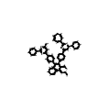 C/C=c1/c(-c2ccc(-c3cc(-c4ccccc4)nc(C4=CC=CCC=C4)n3)cc2)c(-c2ccc(-c3cc(C)nc(-c4ccccc4)n3)cc2)c2ccccc2/c1=C/CC